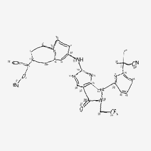 CC(C)(C)OC(=O)N1CCc2ccc(Nc3ncc4c(=O)n(CC(F)(F)F)n(-c5cccc(C(C)(C)C#N)n5)c4n3)cc2C1